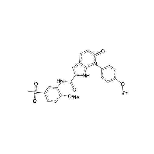 COc1ccc(S(C)(=O)=O)cc1NC(=O)c1cc2ccc(=O)n(-c3ccc(OC(C)C)cc3)c2[nH]1